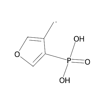 [CH2]c1cocc1P(=O)(O)O